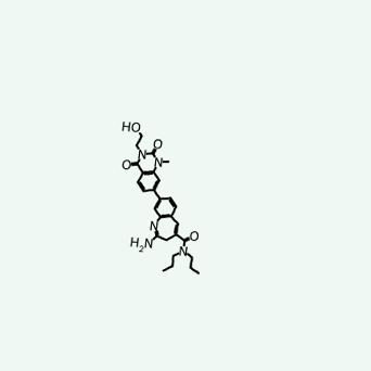 CCCN(CCC)C(=O)C1=Cc2ccc(-c3ccc4c(=O)n(CCO)c(=O)n(C)c4c3)cc2N=C(N)C1